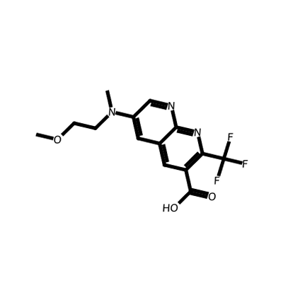 COCCN(C)c1cnc2nc(C(F)(F)F)c(C(=O)O)cc2c1